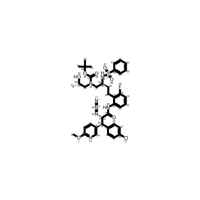 COc1ccc([C@H](c2ccc(Cl)cc2)[C@H](N=[N+]=[N-])C(=O)Nc2cccc(F)c2CC[C@@H](CN(C[C@H](C)O)C(=O)OC(C)(C)C)NS(=O)(=O)c2ccccc2)cn1